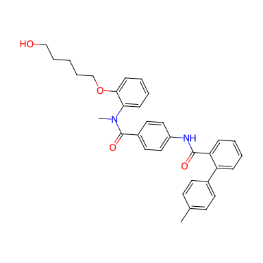 Cc1ccc(-c2ccccc2C(=O)Nc2ccc(C(=O)N(C)c3ccccc3OCCCCCO)cc2)cc1